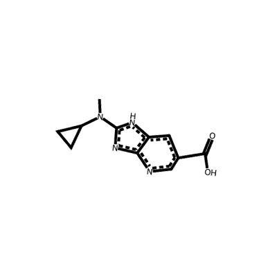 CN(c1nc2ncc(C(=O)O)cc2[nH]1)C1CC1